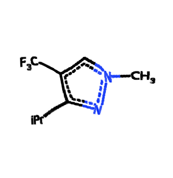 CC(C)c1nn(C)cc1C(F)(F)F